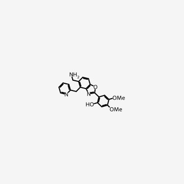 COc1cc(O)c(-c2nc3c(Cc4ccccn4)c(CN)ccc3o2)cc1OC